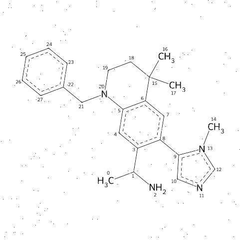 CC(N)c1cc2c(cc1-c1cncn1C)C(C)(C)CCN2Cc1ccccc1